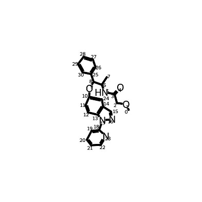 COCC(=O)NC(C)C(Oc1ccc2c(cnn2-c2ccccn2)c1)c1ccccc1